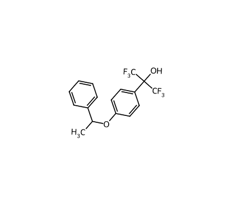 CC(Oc1ccc(C(O)(C(F)(F)F)C(F)(F)F)cc1)c1ccccc1